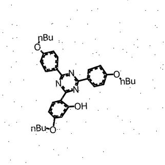 CCCCOc1ccc(-c2nc(-c3ccc(OCCCC)cc3)nc(-c3ccc(OCCCC)cc3O)n2)cc1